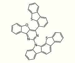 c1ccc2c(c1)oc1c(-c3cccc4c3sc3ccccc34)nc(-n3c4ccccc4c4ccc5c6ccccc6sc5c43)nc12